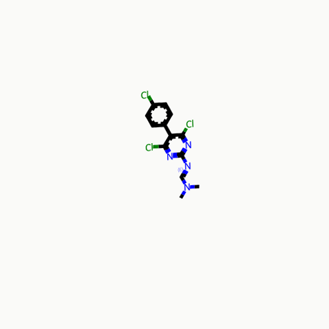 CN(C)/C=N/c1nc(Cl)c(-c2ccc(Cl)cc2)c(Cl)n1